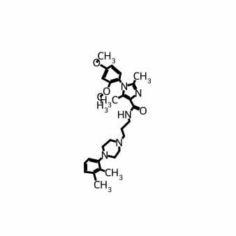 COc1ccc(-n2c(C)nc(C(=O)NCCCN3CCN(c4cccc(C)c4C)CC3)c2C)c(OC)c1